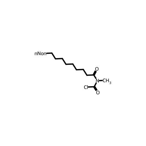 CCCCCCCCCCCCCCCCCC(=O)N(C)C(=O)Cl